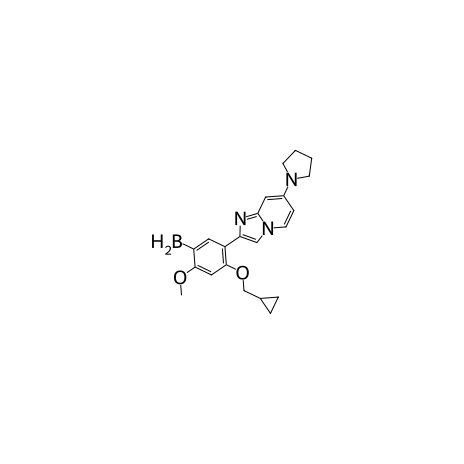 Bc1cc(-c2cn3ccc(N4CCCC4)cc3n2)c(OCC2CC2)cc1OC